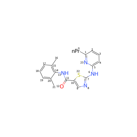 CCCc1cccc(Nc2ncc(C(=O)Nc3c(C)cccc3C)s2)n1